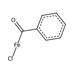 O=[C]([Fe][Cl])c1ccccc1